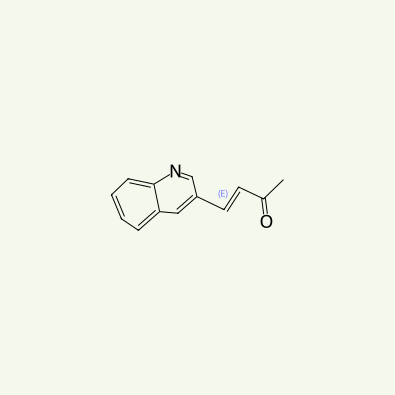 CC(=O)/C=C/c1cnc2ccccc2c1